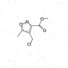 COC(=O)c1noc(C)c1CCl